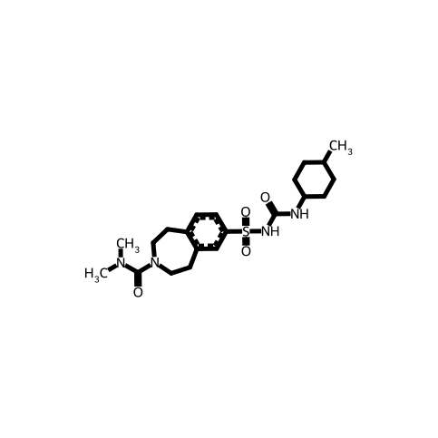 CC1CCC(NC(=O)NS(=O)(=O)c2ccc3c(c2)CCN(C(=O)N(C)C)CC3)CC1